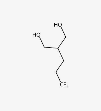 OCC(CO)CCC(F)(F)F